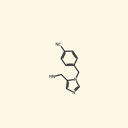 N#Cc1ccc(Cn2cncc2C[NH])cc1